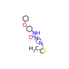 Cc1ccsc1CN1CC2CC1CN2C(=O)Nc1ccc(Oc2ccccc2)cc1